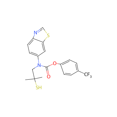 CC(C)(S)CN(C(=O)Oc1ccc(C(F)(F)F)cc1)c1ccc2ncsc2c1